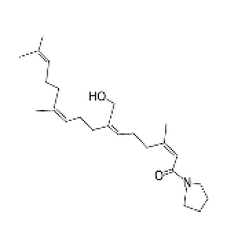 CC(C)=CCCC(C)=CCCC(=CCCC(C)=CC(=O)N1CCCC1)CO